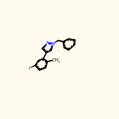 Cc1ccc(F)cc1-c1cnn(Cc2ccccc2)c1